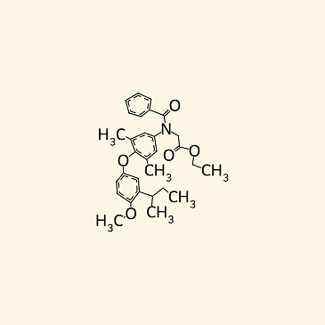 CCOC(=O)CN(C(=O)c1ccccc1)c1cc(C)c(Oc2ccc(OC)c(C(C)CC)c2)c(C)c1